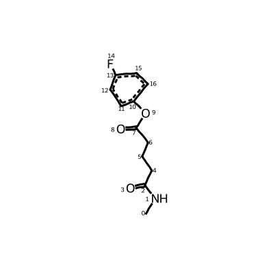 CNC(=O)CCCC(=O)Oc1ccc(F)cc1